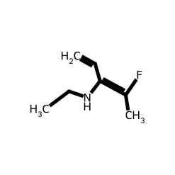 C=C/C(NCC)=C(/C)F